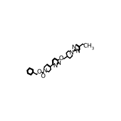 CCc1cnc(N2CCC(COc3ccc(C4=CCN(C(=O)OCc5ccccc5)CC4)nn3)CC2)nc1